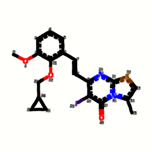 COc1cccc(C=Cc2nc3scc(C)n3c(=O)c2I)c1OCC1CC1